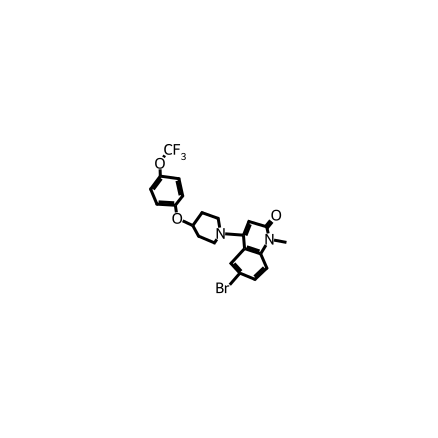 Cn1c(=O)cc(N2CCC(Oc3ccc(OC(F)(F)F)cc3)CC2)c2cc(Br)ccc21